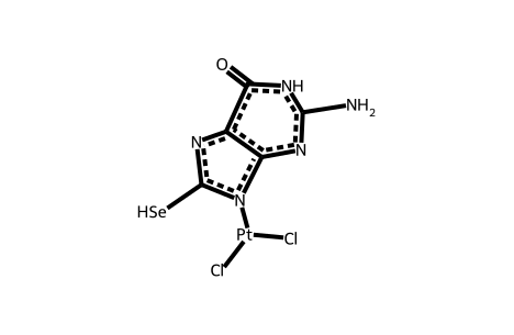 Nc1nc2c(nc([SeH])[n]2[Pt]([Cl])[Cl])c(=O)[nH]1